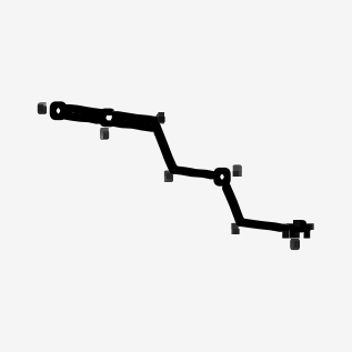 CCCCOCC=C=O